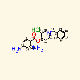 Cl.Nc1ccc(C(=O)OC2CCN(Cc3ccccc3)CC2)c(N)c1